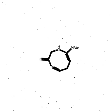 CN/C1=C/C/C=N\C(=O)CN1